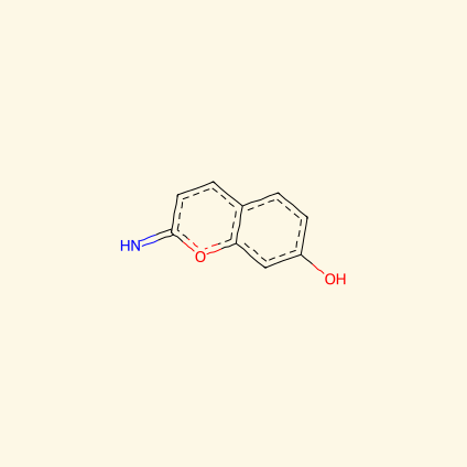 N=c1ccc2ccc(O)cc2o1